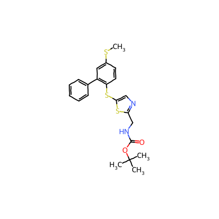 CSc1ccc(Sc2cnc(CNC(=O)OC(C)(C)C)s2)c(-c2ccccc2)c1